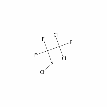 FC(Cl)(Cl)C(F)(F)SCl